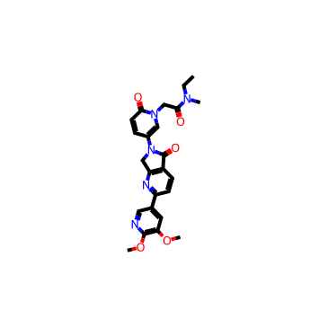 CCN(C)C(=O)Cn1cc(N2Cc3nc(-c4cnc(OC)c(OC)c4)ccc3C2=O)ccc1=O